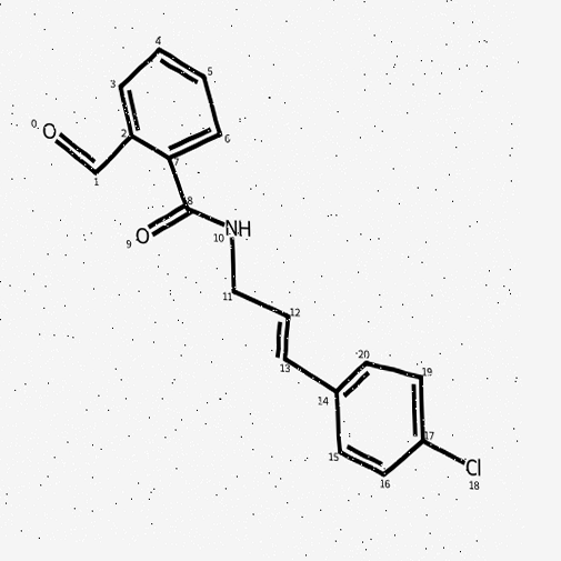 O=Cc1ccccc1C(=O)NC/C=C/c1ccc(Cl)cc1